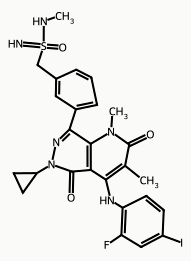 CNS(=N)(=O)Cc1cccc(-c2nn(C3CC3)c(=O)c3c(Nc4ccc(I)cc4F)c(C)c(=O)n(C)c23)c1